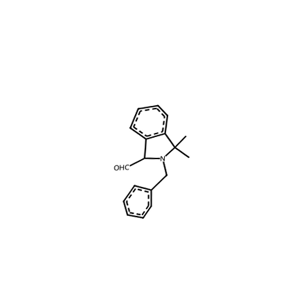 CC1(C)c2ccccc2C(C=O)N1Cc1ccccc1